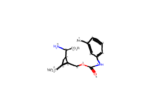 CC(=O)c1cccc(NC(=O)OCC2C(C(=O)O)C2C(N)C(=O)O)c1